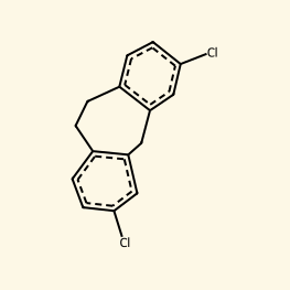 Clc1ccc2c(c1)Cc1cc(Cl)ccc1CC2